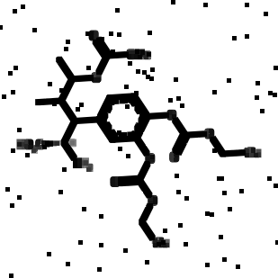 COC(=O)OC(C)C(C)C(c1ccc(OC(=O)OCC(C)(C)C)c(OC(=O)OCC(C)(C)C)c1)[C@H](N)C(=O)O